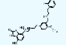 COc1ccc(CCNC[C@H](O)c2ccc(O)c3[nH]c(=O)sc23)cc1CNCCc1ccccc1F